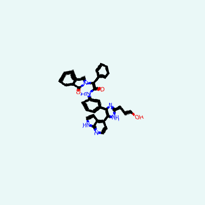 O=C(Nc1cccc(-c2nc(CCCO)[nH]c2-c2ccnc3[nH]ccc23)c1)C(c1ccccc1)N1Cc2ccccc2C1=O